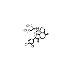 O=C[C@H](CC(=O)O)NC(=O)[C@@H]1CCCN2C(=O)CC[C@H](NC(=O)c3ccc(Cl)c(Cl)c3)C(=O)N12